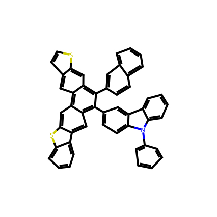 c1ccc(-n2c3ccccc3c3cc(-c4c(-c5ccc6ccccc6c5)c5cc6sccc6cc5c5cc6sc7ccccc7c6cc45)ccc32)cc1